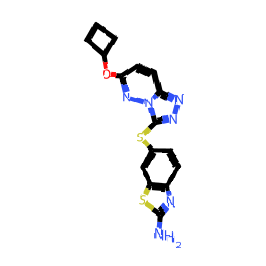 Nc1nc2ccc(Sc3nnc4ccc(OC5CCC5)nn34)cc2s1